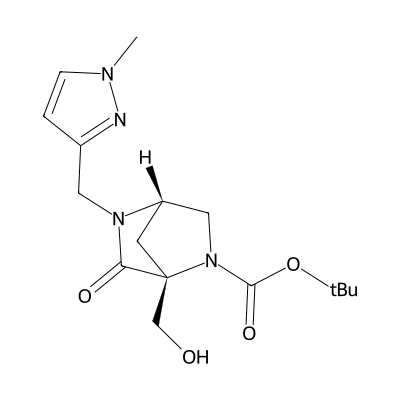 Cn1ccc(CN2C(=O)[C@]3(CO)C[C@H]2CN3C(=O)OC(C)(C)C)n1